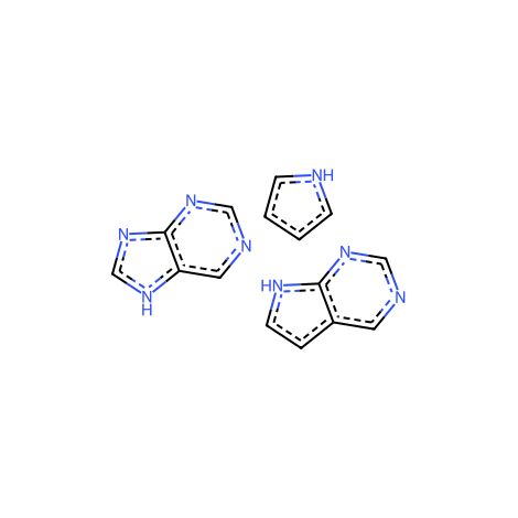 c1cc[nH]c1.c1ncc2[nH]cnc2n1.c1ncc2cc[nH]c2n1